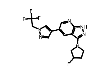 FC1CCN(c2n[nH]c3ncc(-c4cnn(CC(F)(F)F)c4)cc23)C1